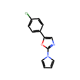 Clc1ccc(-c2cnc(-n3cccc3)o2)cc1